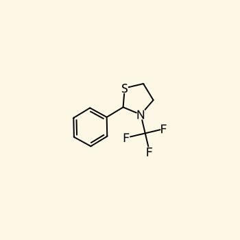 FC(F)(F)N1CCSC1c1ccccc1